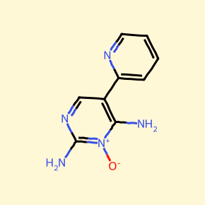 Nc1ncc(-c2ccccn2)c(N)[n+]1[O-]